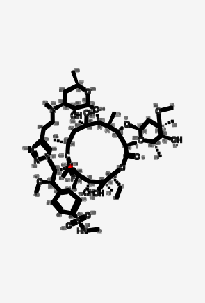 CC[C@H]1OC(=O)[C@H](C)[C@@H](O[C@H]2C[C@@](C)(OC)[C@@H](O)[C@H](C)O2)[C@H](C)[C@@H](O[C@@H]2O[C@H](C)C[C@H](N(C)CCc3cn([C@H](CF)[C@H](OC)c4ccc(S(=O)(=O)NC)cc4)nn3)[C@H]2O)[C@](C)(O)C[C@@H](C)CN(C)[C@H](C)[C@@H](O)[C@]1(C)O